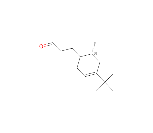 C[C@@H]1CC(C(C)(C)C)=CCC1CCC=O